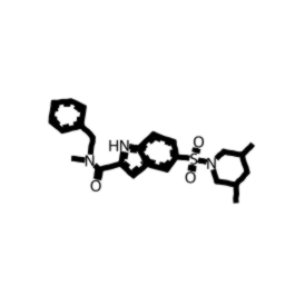 CC1CC(C)CN(S(=O)(=O)c2ccc3[nH]c(C(=O)N(C)Cc4ccccc4)cc3c2)C1